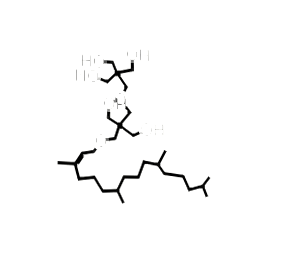 CC(=CCOCC(CO)(CO)COCC(CO)(CO)CO)CCCC(C)CCCC(C)CCCC(C)C